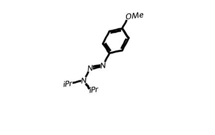 COc1ccc(N=NN(C(C)C)C(C)C)cc1